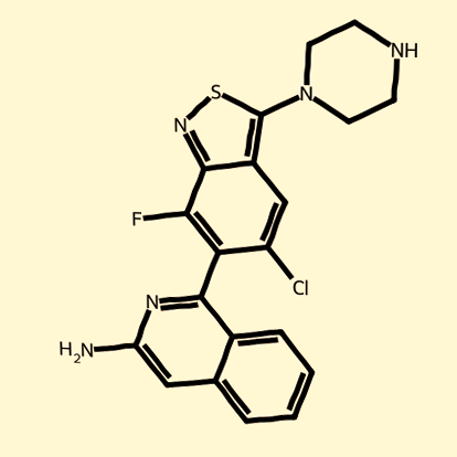 Nc1cc2ccccc2c(-c2c(Cl)cc3c(N4CCNCC4)snc3c2F)n1